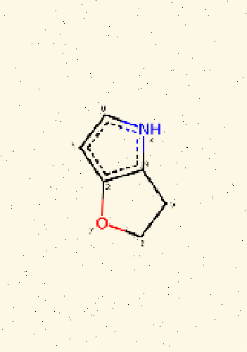 c1cc2c([nH]1)CCO2